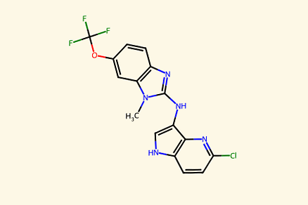 Cn1c(Nc2c[nH]c3ccc(Cl)nc23)nc2ccc(OC(F)(F)F)cc21